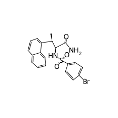 C[C@H](c1cccc2ccccc12)[C@H](NS(=O)(=O)c1ccc(Br)cc1)C(N)=O